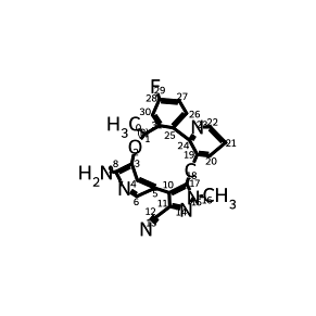 C[C@H]1Oc2cc(cnc2N)-c2c(C#N)nn(C)c2Cc2cccnc2-c2ccc(F)cc21